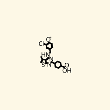 COc1ccc(CNc2nc(C3CCC(C(=O)O)CC3)nc3scc(C)c23)cc1Cl